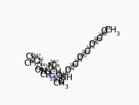 C=C(/C=C\C=C(/C)S(=O)(=O)NCCOCCOCCOCCOCCOCCOCCOC)[C@@H](CN1CCCC1)N(C)C(=O)Cc1ccc(Cl)c(Cl)c1